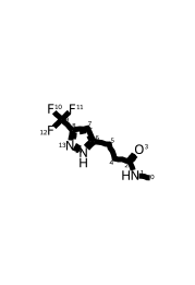 CNC(=O)CCc1[c]c(C(F)(F)F)n[nH]1